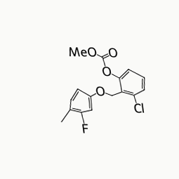 COC(=O)Oc1cccc(Cl)c1COc1ccc(C)c(F)c1